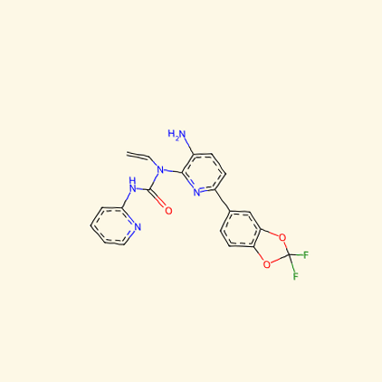 C=CN(C(=O)Nc1ccccn1)c1nc(-c2ccc3c(c2)OC(F)(F)O3)ccc1N